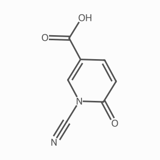 N#Cn1cc(C(=O)O)ccc1=O